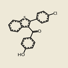 O=C(c1ccc(O)cc1)c1c(-c2ccc(Cl)cc2)sc2ccccc12